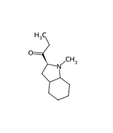 CCC(=O)[C@@H]1CC2CCCCC2N1C